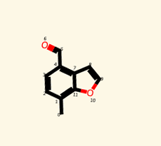 Cc1ccc(C=O)c2ccoc12